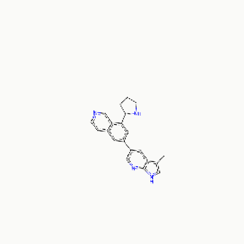 Cc1c[nH]c2ncc(-c3cc(C4CCCN4)c4cnccc4c3)cc12